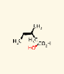 CC=C(C)C.O=C(O)O